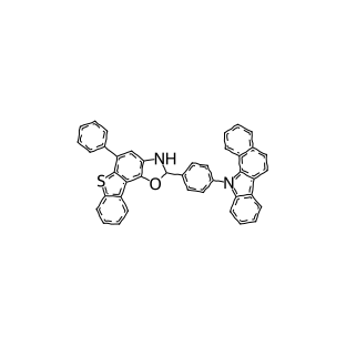 c1ccc(-c2cc3c(c4c2sc2ccccc24)OC(c2ccc(-n4c5ccccc5c5ccc6ccccc6c54)cc2)N3)cc1